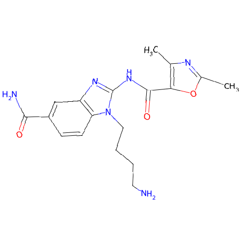 Cc1nc(C)c(C(=O)Nc2nc3cc(C(N)=O)ccc3n2CCCCN)o1